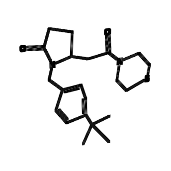 CC(C)(C)c1ccc(CN2C(=O)CCC2CC(=O)N2CCSCC2)cc1